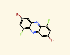 Fc1cc(Br)cc2nc3c(F)cc(Br)cc3nc12